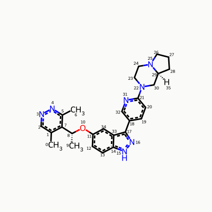 Cc1cnnc(C)c1[C@@H](C)Oc1ccc2[nH]nc(-c3ccc(N4CCN5CCC[C@H]5C4)nc3)c2c1